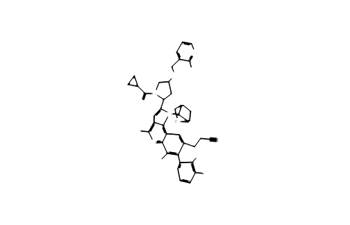 Cc1nc2c(F)c(-c3cccc(Cl)c3Cl)c(CCC#N)cc2c2c1cc(C1CC(OCc3cccnc3N)CN1C(=O)C1CC1)n2C1C2CNC1C2